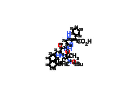 CC(C)(C)ON(C=O)C(C)(C)C(=O)N[C@H](Cc1ccc2ccccc2c1)C(=O)Nc1c[nH]c(C(C(=O)O)c2ccccc2)n1